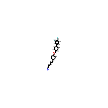 N#CC=CC=CC1CCC(OCC2CCC(c3ccc(F)c(F)c3)CC2)CC1